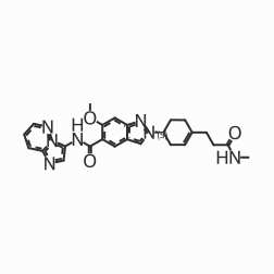 CNC(=O)CCC1=CC[C@@H](n2cc3cc(C(=O)Nc4cnc5cccnn45)c(OC)cc3n2)CC1